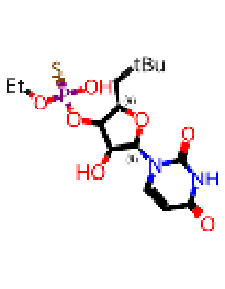 CCOP(O)(=S)OC1C(O)[C@H](n2ccc(=O)[nH]c2=O)O[C@@H]1CC(C)(C)C